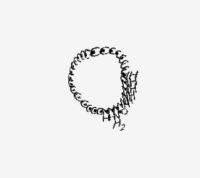 NC(=O)N1NNCCCCCCCCCCCCCCCCCCCCCNNNNNN1